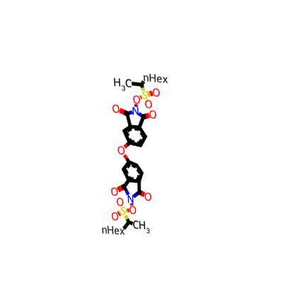 CCCCCCC(C)S(=O)(=O)ON1C(=O)c2ccc(Oc3ccc4c(c3)C(=O)N(OS(=O)(=O)C(C)CCCCCC)C4=O)cc2C1=O